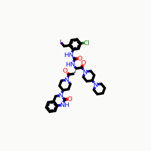 O=C(Nc1cc(Cl)ccc1CI)N[C@@H](CC(=O)N1CCC(N2Cc3ccccc3NC2=O)CC1)C(=O)N1CCC(N2CCCCC2)CC1